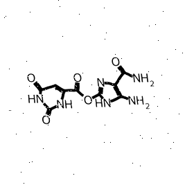 NC(=O)c1nc(OC(=O)c2cc(=O)[nH]c(=O)[nH]2)[nH]c1N